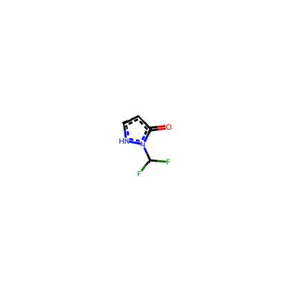 O=c1cc[nH]n1C(F)F